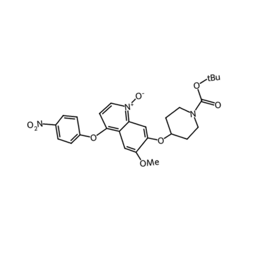 COc1cc2c(Oc3ccc([N+](=O)[O-])cc3)cc[n+]([O-])c2cc1OC1CCN(C(=O)OC(C)(C)C)CC1